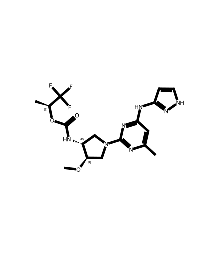 CO[C@@H]1CN(c2nc(C)cc(Nc3cc[nH]n3)n2)C[C@H]1NC(=O)O[C@@H](C)C(F)(F)F